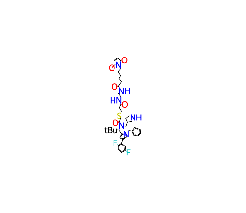 CC(C)(C)[C@H](c1cc(-c2cc(F)ccc2F)cn1Cc1ccccc1)N(CC1CCNC1)C(=O)CSCCC(=O)NCCNC(=O)CCCCCN1C(=O)C=CC1=O